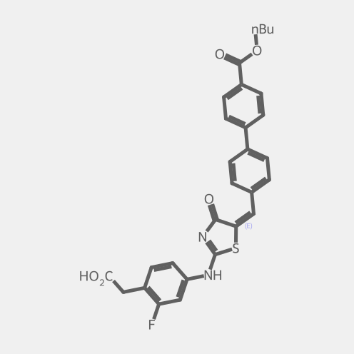 CCCCOC(=O)c1ccc(-c2ccc(/C=C3/SC(Nc4ccc(CC(=O)O)c(F)c4)=NC3=O)cc2)cc1